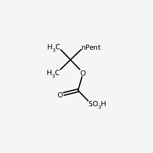 CCCCCC(C)(C)OC(=O)S(=O)(=O)O